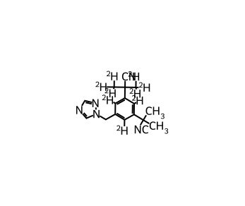 [2H]c1c(Cn2cncn2)c([2H])c(C(C#N)(C([2H])([2H])[2H])C([2H])([2H])[2H])c([2H])c1C(C)(C)C#N